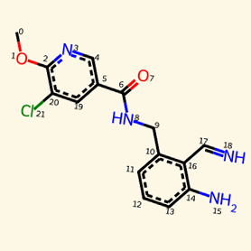 COc1ncc(C(=O)NCc2cccc(N)c2C=N)cc1Cl